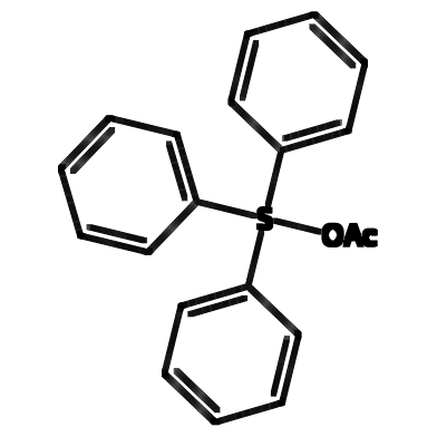 CC(=O)OS(c1ccccc1)(c1ccccc1)c1ccccc1